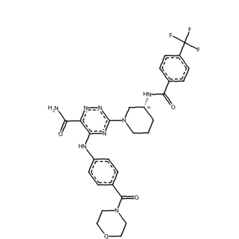 NC(=O)c1nnc(N2CCC[C@@H](NC(=O)c3ccc(C(F)(F)F)cc3)C2)nc1Nc1ccc(C(=O)N2CCOCC2)cc1